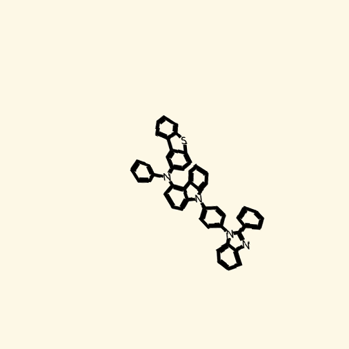 c1ccc(-c2nc3ccccc3n2-c2ccc(-n3c4ccccc4c4c(N(c5ccccc5)c5ccc6sc7ccccc7c6c5)cccc43)cc2)cc1